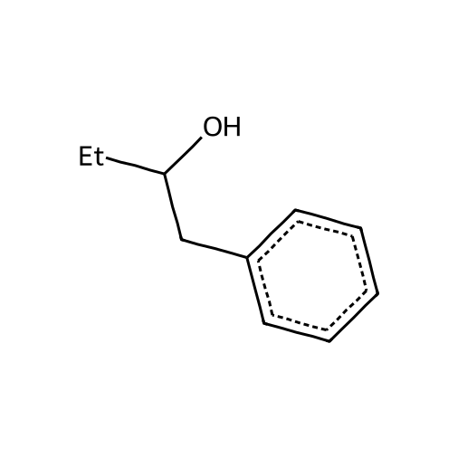 CCC(O)Cc1ccccc1